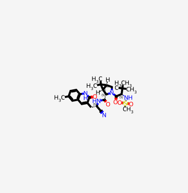 Cc1ccc2[nH]c(=O)c(C[C@@H](C#N)NC(=O)[C@@H]3[C@@H]4[C@H](CN3C(=O)[C@@H](NS(C)(=O)=O)C(C)(C)C)C4(C)C)cc2c1